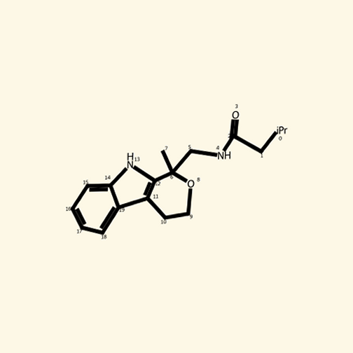 CC(C)CC(=O)NCC1(C)OCCc2c1[nH]c1ccccc21